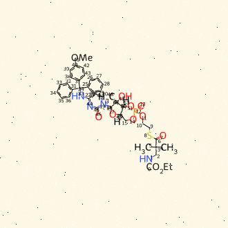 CCOC(=O)NCC(C)(C)C(=O)SCCOP1(=O)OC[C@H]2O[C@@H](n3ccc(NC(c4ccccc4)(c4ccccc4)c4ccc(OC)cc4)nc3=O)[C@](C)(O)[C@@H]2O1